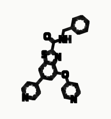 O=C(NCc1ccccc1)c1nc2c(Oc3ccncc3)cc(-c3ccncc3)cc2s1